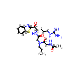 CCCN(CC(=O)N[C@@H](CCCNC(=N)N)C(=O)c1nc2ccccc2s1)C(=O)CNC(C)=O